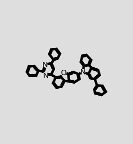 c1ccc(-c2ccc3c4ccccc4n(-c4ccc5c(c4)oc4c(-c6cc(-c7ccccc7)nc(-c7ccccc7)n6)cccc45)c3c2)cc1